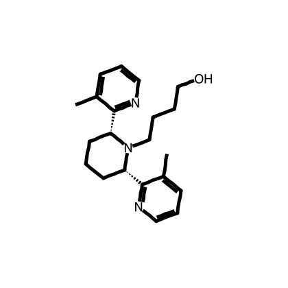 Cc1cccnc1[C@H]1CCC[C@@H](c2ncccc2C)N1CCCCO